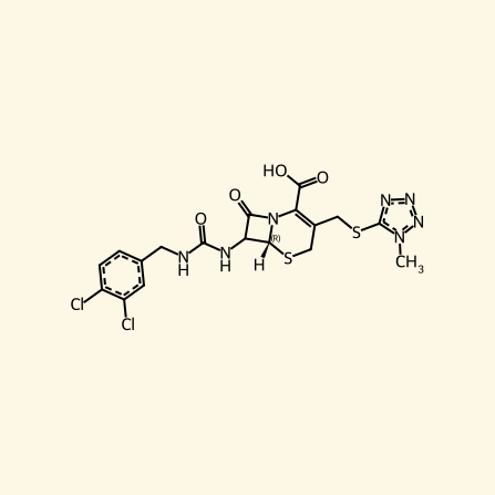 Cn1nnnc1SCC1=C(C(=O)O)N2C(=O)C(NC(=O)NCc3ccc(Cl)c(Cl)c3)[C@H]2SC1